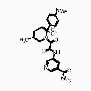 CNc1ccc([C@]2(C)CC[C@H](C)CN2C(=O)C(=O)Nc2cncc(C(N)=O)c2)cc1